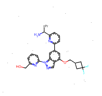 CCCC(N)c1cccc(-c2cc(OCC3CC(F)(F)C3)c3cnn(-c4cccc(CO)n4)c3c2)n1